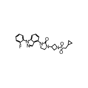 O=C1N(c2cccc3c2cnn3-c2ccccc2F)CCN1C1CN(S(=O)(=O)CC2CC2)C1